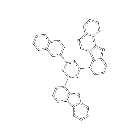 c1ccc2cc(-c3nc(-c4cccc5c4sc4ccccc45)nc(-c4cccc5oc6c7ccccc7ncc6c45)n3)ccc2c1